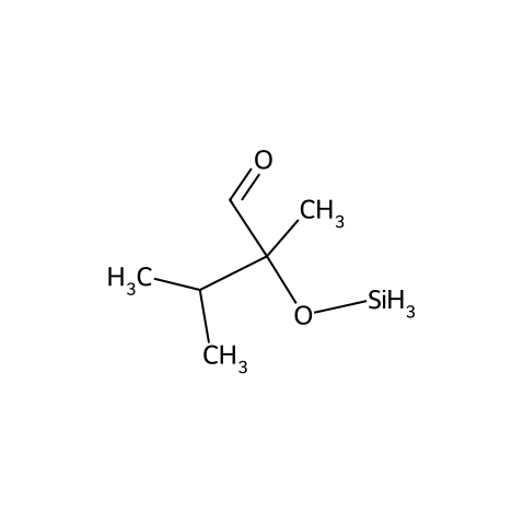 CC(C)C(C)(C=O)O[SiH3]